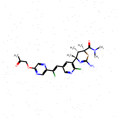 CC(=O)COc1cnc(/C(F)=C/c2cnc(F)c([C@@]3(C)N=C(N)S[C@](C)(C(=O)N(C)C)[C@H]3C)c2)cn1